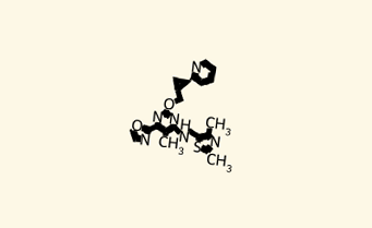 Cc1nc(C)c(CNc2nc(OCC3C[C@@H]3c3ccccn3)nc(-c3ncco3)c2C)s1